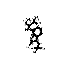 CCC(Nc1cccc2c(CC(F)(F)F)c(I)sc12)C(C)F